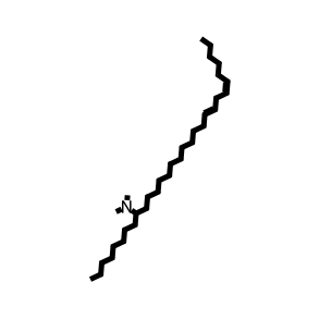 CCCCC/C=C\CC=CCCCCCCCCCCCC(CCCCCCCC)N(C)C